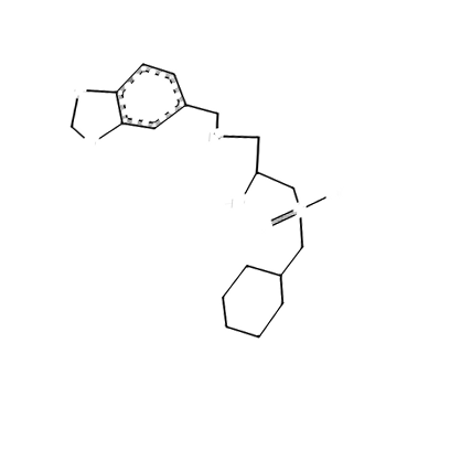 O=P(O)(CC(O)CNCc1ccc2c(c1)OCO2)CC1CCCCC1